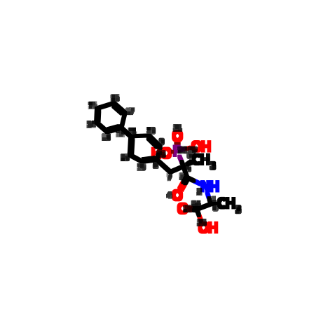 CC(NC(=O)[C@](C)(Cc1ccc(-c2ccccc2)cc1)P(=O)(O)O)C(=O)O